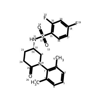 Cc1cccc(C)c1N1C[C@@H](NS(=O)(=O)c2ccc(F)cc2F)CCC1=O